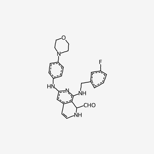 O=CC1NC=Cc2cc(Nc3ccc(N4CCOCC4)cc3)nc(NCc3cccc(F)c3)c21